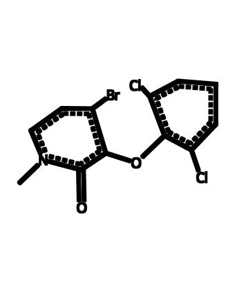 Cn1ccc(Br)c(Oc2c(Cl)cccc2Cl)c1=O